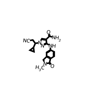 CN1Cc2cc(Nc3nn(C(CC#N)C4CC4)cc3C(N)=O)ccc2C1=O